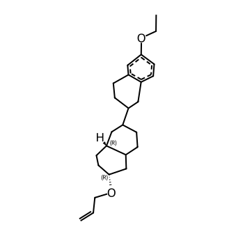 C=CCO[C@@H]1CC[C@@H]2CC(C3CCc4cc(OCC)ccc4C3)CCC2C1